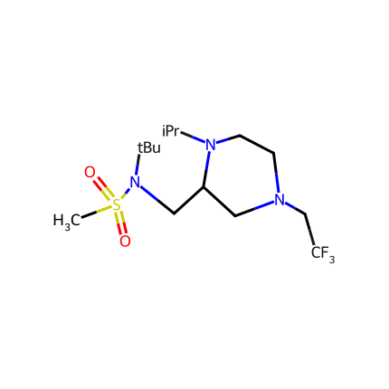 CC(C)N1CCN(CC(F)(F)F)CC1CN(C(C)(C)C)S(C)(=O)=O